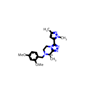 COc1ccc(CN2CCn3c(-c4cc(C)nn4C)nnc3[C@H]2C)c(OC)c1